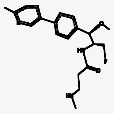 CNCCC(=O)N[C@H](CF)[C@H](OC)c1ccc(-c2ccc(C)nc2)cc1